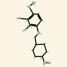 CCOc1ccc(OCC2CCC(OC)CC2)c(F)c1F